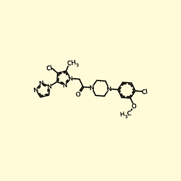 COc1cc(N2CCN(C(=O)Cn3nc(-n4ccnn4)c(Cl)c3C)CC2)ccc1Cl